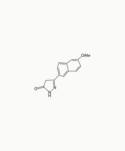 COc1ccc2cc(C3=NNC(=O)C3)ccc2c1